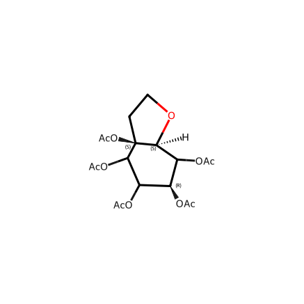 CC(=O)OC1C(OC(C)=O)[C@]2(OC(C)=O)CCO[C@H]2C(OC(C)=O)[C@H]1OC(C)=O